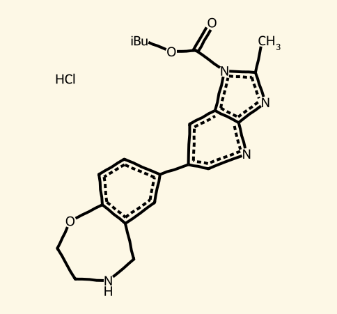 CCC(C)OC(=O)n1c(C)nc2ncc(-c3ccc4c(c3)CNCCO4)cc21.Cl